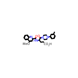 COc1cc(C(=O)NC(CCC(=O)O)C(=O)N2CCN(c3cccc(C)c3)CC2)nc2ccccc12